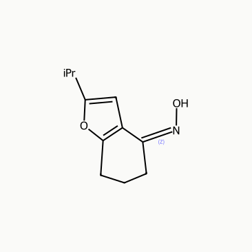 CC(C)c1cc2c(o1)CCC/C2=N/O